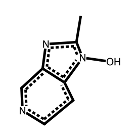 Cc1nc2cnccc2n1O